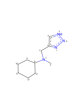 CN(Cc1c[nH]nn1)C1CCCCC1